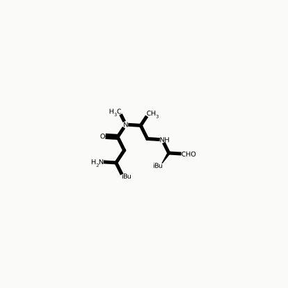 CCC(C)C(N)CC(=O)N(C)C(C)CNC(C=O)[C@H](C)CC